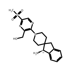 CS(=O)(=O)c1cnc(N2CCC3(CC2)Cc2ccccc2[C@H]3N)c(CO)n1